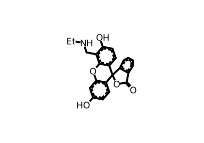 CCNCc1c(O)ccc2c1Oc1cc(O)ccc1C21OC(=O)c2ccccc21